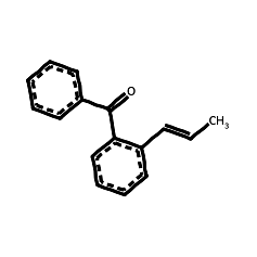 CC=Cc1ccccc1C(=O)c1ccccc1